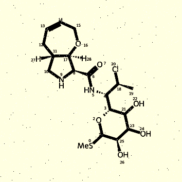 CSC1O[C@H]([C@H](NC(=O)[C@H]2NC[C@@H]3CC=CCO[C@H]32)[C@H](C)Cl)C(O)C(O)[C@H]1O